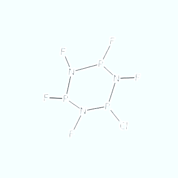 FN1P(F)N(F)P(Cl)N(F)P1F